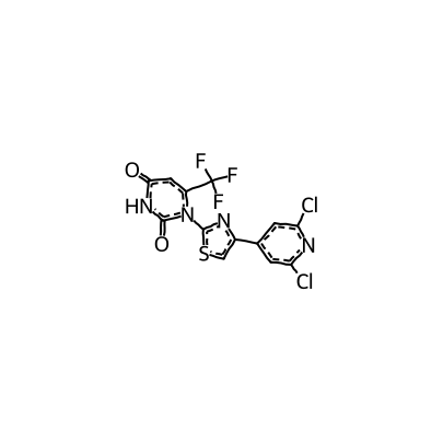 O=c1cc(C(F)(F)F)n(-c2nc(-c3cc(Cl)nc(Cl)c3)cs2)c(=O)[nH]1